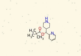 CC(C)(C)C(=O)OC(c1ccccn1)C1CCNCC1